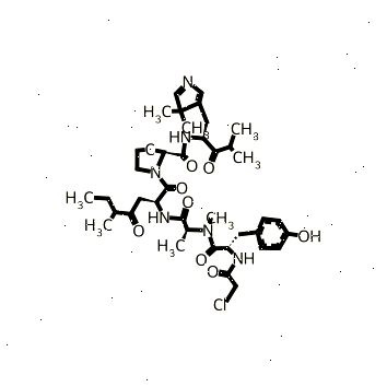 CCC(C)C(=O)C[C@H](NC(=O)[C@H](C)N(C)C(=O)[C@H](Cc1ccc(O)cc1)NC(=O)CCl)C(=O)N1CCC[C@H]1C(=O)N[C@@H](CC1=CN=CC1(C)C)C(=O)C(C)C